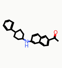 CC(=O)c1ccc2cc(NC3CCC(c4ccccc4)CC3)ccc2c1